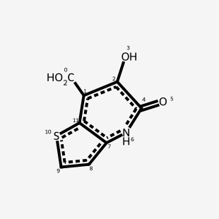 O=C(O)c1c(O)c(=O)[nH]c2ccsc12